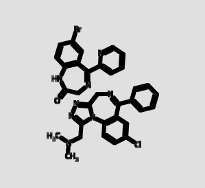 CN(C)Cc1nnc2n1-c1ccc(Cl)cc1C(c1ccccc1)=NC2.O=C1CN=C(c2ccccn2)c2cc(Br)ccc2N1